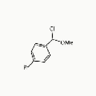 COC(Cl)c1ccc(C(C)C)cc1